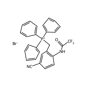 N#Cc1ccc(NC(=O)C(F)(F)F)c(C[P+](c2ccccc2)(c2ccccc2)c2ccccc2)c1.[Br-]